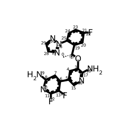 C[C@@H](Oc1cc(-c2cc(N)nc(F)c2F)cnc1N)c1cc(F)ccc1-n1nccn1